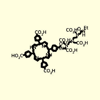 CCNC(=O)CN(CCN(CCN(CC(=O)O)C(NC(=O)c1ccc(-c2c3nc(c(-c4ccc(C(=O)O)cc4)c4ccc([nH]4)c(-c4ccc(C(=O)O)cc4)c4nc(c(-c5ccc(C(=O)O)cc5)c5ccc2[nH]5)C=C4)C=C3)cc1)C(=O)O)CC(=O)O)CC(=O)O